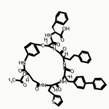 CC(=O)O[C@@H]1CC(=O)N[C@@H](Cc2cccs2)C(=O)N[C@H](Cc2ccc(-c3ccccc3)cc2)C(=O)N[C@@H](CCc2ccccc2)C(=O)N[C@H](C(=O)N[C@@H](Cc2ccccc2)C(=O)O)Cc2ccc(cc2)NC1=O